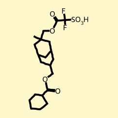 CC1(COC(=O)C(F)(F)S(=O)(=O)O)CC2CC(COC(=O)C3CCCCC3)CC(C2)C1